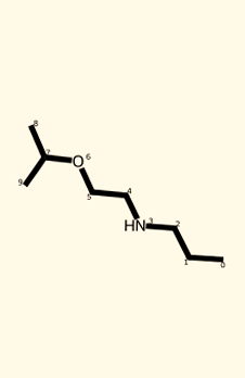 CCCNCCOC(C)C